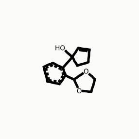 OC1(c2ccccc2C2OCCO2)C=CCC1